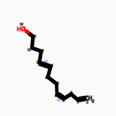 C=CC/C=C\CC/C=C/CCCO